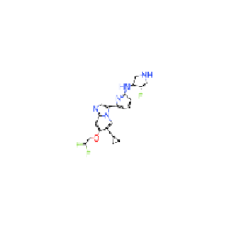 FC(F)COc1cc2ncc(-c3cccc(N[C@H]4CNC[C@@H]4F)n3)n2cc1C1CC1